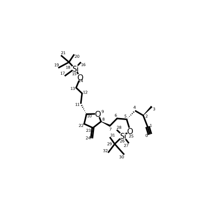 C#C[C@H](C)C[C@@H](CC[C@@H]1O[C@@H](CCCO[Si](C)(C)C(C)(C)C)CC1=C)O[Si](C)(C)C(C)(C)C